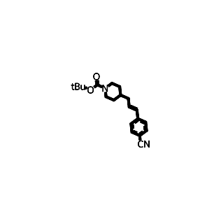 CC(C)(C)OC(=O)N1CCC(CC=Cc2ccc(C#N)cc2)CC1